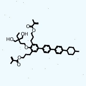 C=C(C)C(=O)OCCCc1cc(-c2ccc(-c3ccc(C4CCC(C)CC4)cc3)cc2)cc(CCCOC(=O)C(=C)C)c1OCCC(CC)(CO)CO